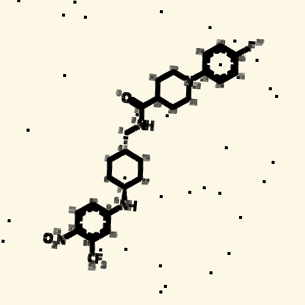 O=C(NC[C@H]1CC[C@H](Nc2ccc([N+](=O)[O-])c(C(F)(F)F)c2)CC1)C1CCN(c2ccc(F)cc2)CC1